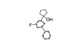 OC1(c2cc(F)cc(-c3ccccc3)c2)CCCC1